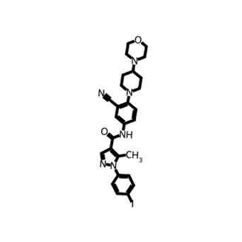 Cc1c(C(=O)Nc2ccc(N3CCC(N4CCOCC4)CC3)c(C#N)c2)cnn1-c1ccc(I)cc1